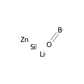 [B]=O.[Li].[Si].[Zn]